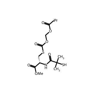 COC(=O)[C@H](CSC(=O)OCOC(=O)C(C)C)NC(=O)C(C)(C)S